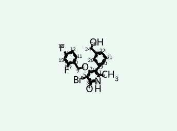 Cc1[nH]c(=O)c(Br)c(OCc2ccc(F)cc2F)c1-c1cccc(CO)c1